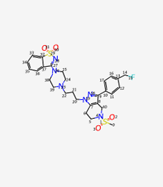 CS(=O)(=O)N1CCc2c(c(-c3ccc(CF)cc3)nn2CCCN2CCN(C3=NS(=O)(=O)c4ccccc43)CC2)C1